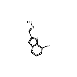 ON=Cc1cc2cccc(Br)c2s1